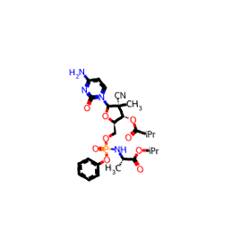 CC(C)OC(=O)[C@H](C)N[P@@](=O)(OC[C@H]1OC(n2ccc(N)nc2=O)[C@](C)(C#N)[C@@H]1OC(=O)C(C)C)Oc1ccccc1